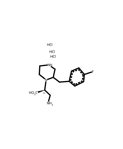 Cl.Cl.Cl.NC[C@@H](C(=O)O)N1CCNCC1Cc1ccc(F)cc1